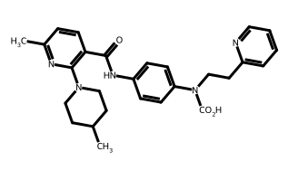 Cc1ccc(C(=O)Nc2ccc(N(CCc3ccccn3)C(=O)O)cc2)c(N2CCC(C)CC2)n1